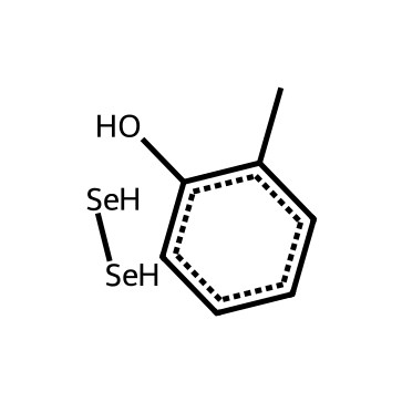 Cc1ccccc1O.[SeH][SeH]